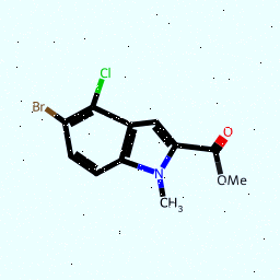 COC(=O)c1cc2c(Cl)c(Br)ccc2n1C